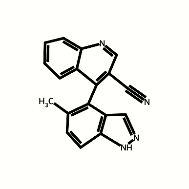 Cc1ccc2[nH]ncc2c1-c1c(C#N)cnc2ccccc12